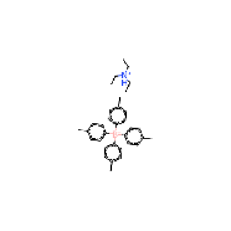 CC[NH+](CC)CC.Cc1ccc([B-](c2ccc(C)cc2)(c2ccc(C)cc2)c2ccc(C)cc2)cc1